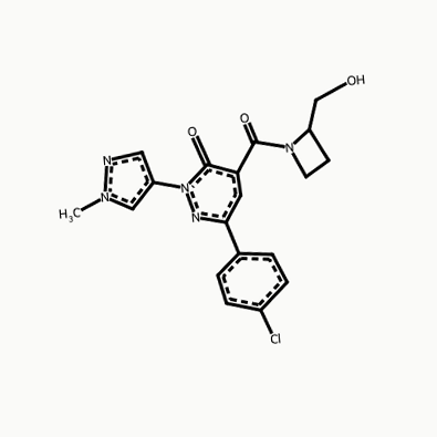 Cn1cc(-n2nc(-c3ccc(Cl)cc3)cc(C(=O)N3CCC3CO)c2=O)cn1